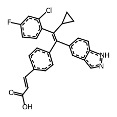 O=C(O)/C=C/c1ccc(/C(=C(\c2ccc(F)cc2Cl)C2CC2)c2ccc3[nH]ncc3c2)cc1